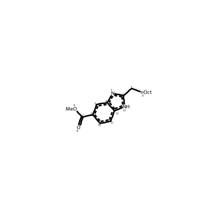 CCCCCCCCCc1nc2cc(C(=O)OC)ccc2[nH]1